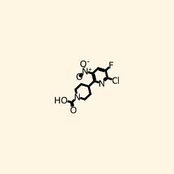 O=C(O)N1CCC(c2nc(Cl)c(F)cc2[N+](=O)[O-])CC1